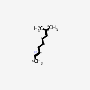 C/C=C/CCCC=C(C)C